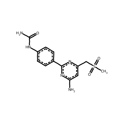 CS(=O)(=O)Cc1cc(N)nc(-c2ccc(NC(N)=O)cc2)n1